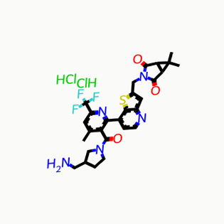 Cc1cc(C(F)(F)F)nc(-c2ccnc3cc(CN4C(=O)C5C(C4=O)C5(C)C)sc23)c1C(=O)N1CCC(CN)C1.Cl.Cl